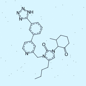 CCCCc1cn(C2C(=O)CCCC2C)c(=O)n1Cc1cc(-c2cccc(-c3nnn[nH]3)c2)ccn1